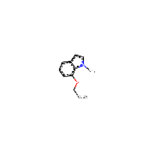 CCOC(=O)COc1cccc2ccn(C)c12